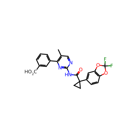 Cc1cnc(NC(=O)C2(c3ccc4c(c3)OC(F)(F)O4)CC2)nc1-c1cccc(C(=O)O)c1